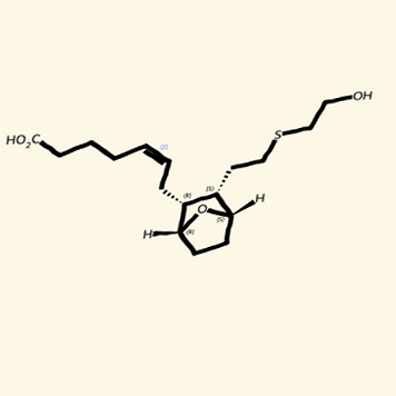 O=C(O)CCC/C=C\C[C@@H]1[C@H](CCSCCO)[C@@H]2CC[C@H]1O2